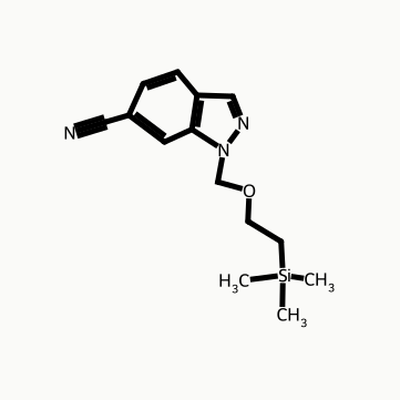 C[Si](C)(C)CCOCn1ncc2ccc(C#N)cc21